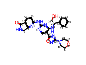 O=C1NCc2nc(Nc3ncc(-c4nc(N5CCOCC5)no4)c(N[C@H](CO)c4ccccc4)n3)ccc21